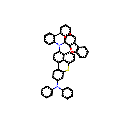 c1ccc(-c2ccccc2N(c2ccc3c4c(cccc24)Sc2cc(N(c4ccccc4)c4ccccc4)ccc2-3)c2cccc3c2oc2ccccc23)cc1